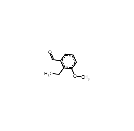 CCc1c([C]=O)cccc1OC